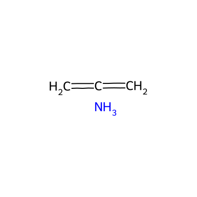 C=C=C.N